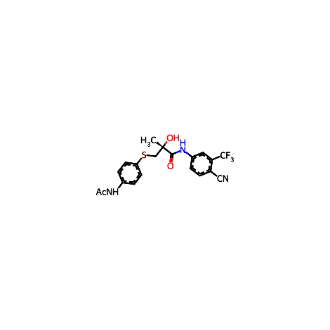 CC(=O)Nc1ccc(SC[C@](C)(O)C(=O)Nc2ccc(C#N)c(C(F)(F)F)c2)cc1